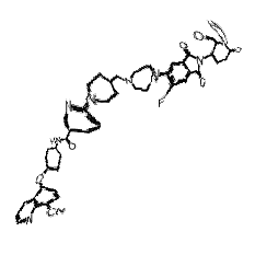 N#Cc1ccc(OC2CCC(NC(=O)c3ccc(N4CCC(CN5CCN(c6cc7c(cc6F)C(=O)N(C6CCC(=O)NC6=O)C7=O)CC5)CC4)nc3)CC2)c2cccnc12